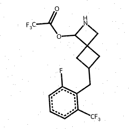 O=C(OC1NCC12CC(Cc1c(F)cccc1C(F)(F)F)C2)C(F)(F)F